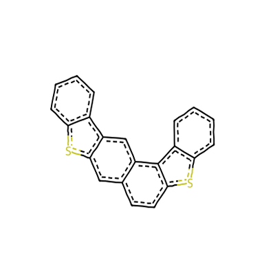 c1ccc2c(c1)sc1cc3ccc4sc5ccccc5c4c3cc12